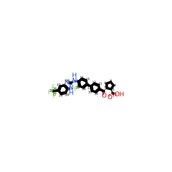 O=C(O)[C@@H]1CCC[C@H]1C(=O)c1ccc(-c2ccc(Nc3nc4cc(C(F)(F)F)ccc4[nH]3)c(F)c2)cc1